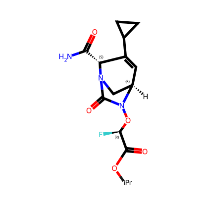 CC(C)OC(=O)[C@@H](F)ON1C(=O)N2C[C@H]1C=C(C1CC1)[C@H]2C(N)=O